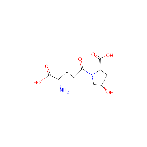 N[C@@H](CCC(=O)N1C[C@H](O)C[C@@H]1C(=O)O)C(=O)O